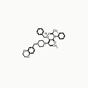 C=C/C(=C(/OCc1ccccc1)C(=O)N(C(=C)C)c1ccccc1)N1CCN(Cc2ccc3c(c2)OCCO3)CC1